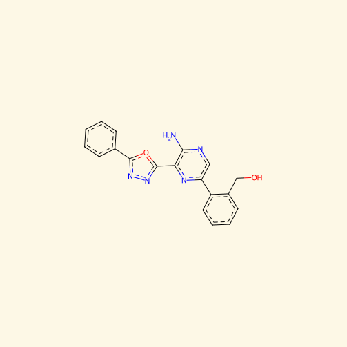 Nc1ncc(-c2ccccc2CO)nc1-c1nnc(-c2ccccc2)o1